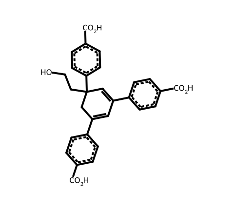 O=C(O)c1ccc(C2=CC(CCO)(c3ccc(C(=O)O)cc3)CC(c3ccc(C(=O)O)cc3)=C2)cc1